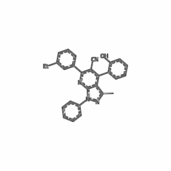 CCc1cccc(-c2nc3c(c(C)nn3-c3ccccc3)c(-c3ccccc3O)c2C#N)c1